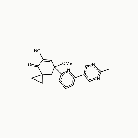 COC1(c2cccc(-c3cnc(C)nc3)n2)C=C(C#N)C(=O)C2(CC2)C1